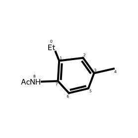 CCc1cc(C)ccc1NC(C)=O